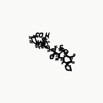 Cc1cc(Cl)cc2c1O[C@H](C(F)(F)F)C(C(=O)OCON[NH+]([O-])N1CCC[C@H]1C(=O)O)=C2